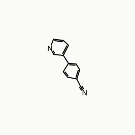 N#Cc1ccc(-c2cccnc2)cc1